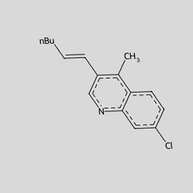 CCCC/C=C/c1cnc2cc(Cl)ccc2c1C